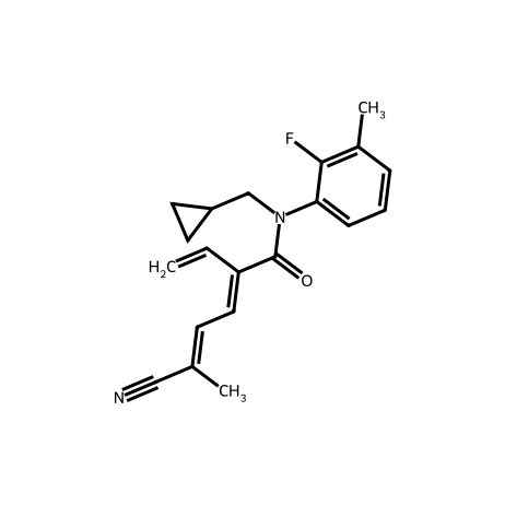 C=C/C(=C\C=C(/C)C#N)C(=O)N(CC1CC1)c1cccc(C)c1F